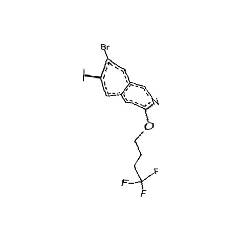 FC(F)(F)CCCOc1cc2cc(I)c(Br)cc2cn1